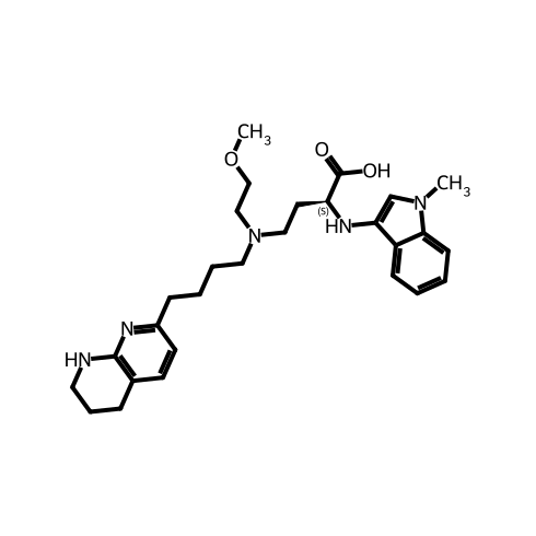 COCCN(CCCCc1ccc2c(n1)NCCC2)CC[C@H](Nc1cn(C)c2ccccc12)C(=O)O